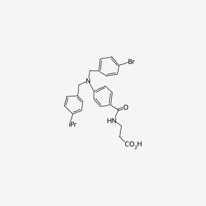 CC(C)c1ccc(CN(Cc2ccc(Br)cc2)c2ccc(C(=O)NCCC(=O)O)cc2)cc1